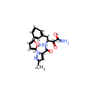 Cc1cc(C(=O)NC(Cc2ccccc2)C(=O)C(N)=O)n(-c2ccco2)n1